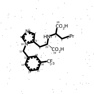 CC(C)CC(N[C@@H](Cc1cncn1Cc1cccc(C(F)(F)F)c1)C(=O)O)C(=O)O